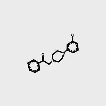 O=C(CN1CCN(c2cccc(Cl)c2)CC1)c1ccccc1